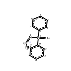 N/N=N\P(=O)(c1ccccc1)c1ccccc1